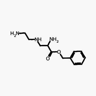 NCCNCC(N)C(=O)OCc1ccccc1